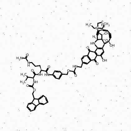 CC[Si](CC)(CC)O[C@H](C)[C@@]12O[C@]13c1cc(O)c4c(c1N[C@H]2C#C/C=C\C#C[C@H]3O)C(=O)c1ccc(CNC(=O)OCc2ccc(NC(=O)[C@H](CCCNC(N)=O)NC(=O)[C@@H](NC(=O)OCC3c5ccccc5-c5ccccc53)C(C)C)cc2)cc1C4=O